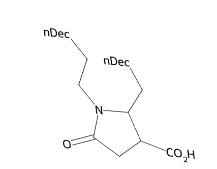 CCCCCCCCCCCCN1C(=O)CC(C(=O)O)C1CCCCCCCCCCC